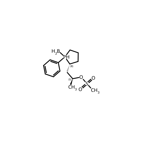 B[PH]1(c2ccccc2)CCC[C@@H]1C[C@H](C)OS(C)(=O)=O